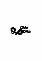 COc1ccc(OC2CCCCO2)cc1OC